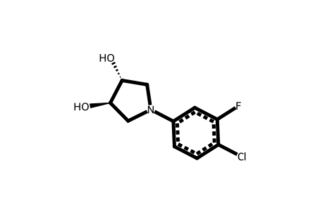 O[C@@H]1CN(c2ccc(Cl)c(F)c2)C[C@H]1O